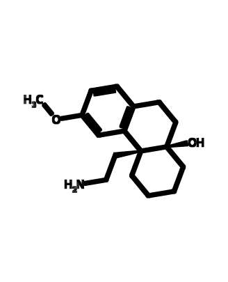 COc1ccc2c(c1)[C@@]1(CCN)CCCC[C@@]1(O)CC2